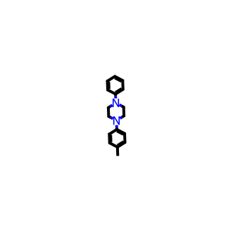 Cc1ccc(N2CCN(c3ccccc3)CC2)cc1